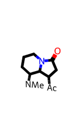 CNC1CCCN2C(=O)CC(C(C)=O)C12